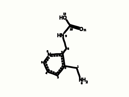 NCc1cccnc1CNC(=O)O